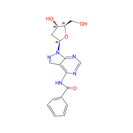 O=C(Nc1ncnc2c1cnn2[C@H]1C[C@@H](O)[C@@H](CO)O1)c1ccccc1